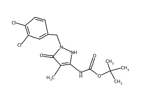 Cc1c(NC(=O)OC(C)(C)C)[nH]n(Cc2ccc(Cl)c(Cl)c2)c1=O